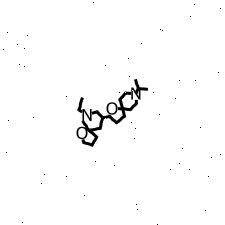 CCN1CC(C2CCC3(CCN(C(C)C)CC3)O2)CC2(CCCO2)C1